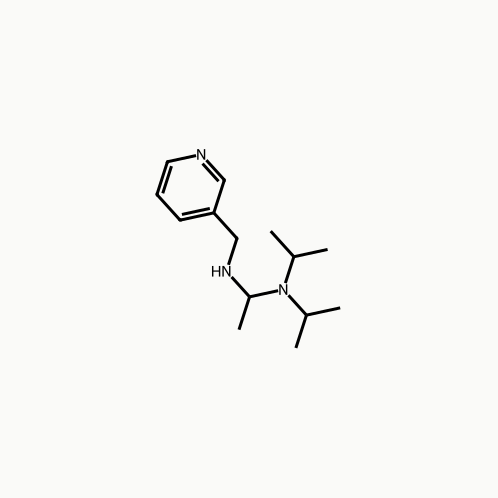 CC(C)N(C(C)C)C(C)NCc1cccnc1